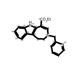 CCOC(=O)C1=CN(Cc2ccccn2)CCc2c1[nH]c1ccccc21